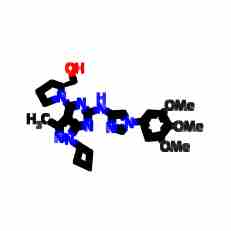 COc1cc(-n2cnc(Nc3nc(N4CCC[C@H]4CO)c4c(C)nn(C5CCC5)c4n3)c2)cc(OC)c1OC